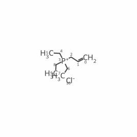 C=CC[P+](CC)(CC)CC.[Cl-]